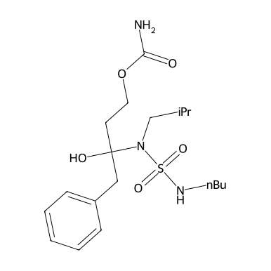 CCCCNS(=O)(=O)N(CC(C)C)C(O)(CCOC(N)=O)Cc1ccccc1